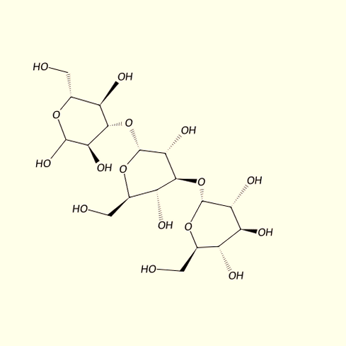 OC[C@H]1O[C@H](O[C@@H]2[C@@H](O)[C@@H](O[C@H]3[C@H](O)[C@@H](CO)OC(O)[C@@H]3O)O[C@H](CO)[C@H]2O)[C@H](O)[C@@H](O)[C@@H]1O